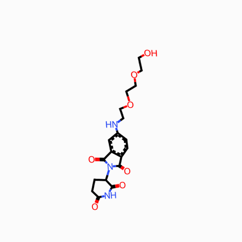 O=C1CCC(N2C(=O)c3ccc(NCCOCCOCCO)cc3C2=O)C(=O)N1